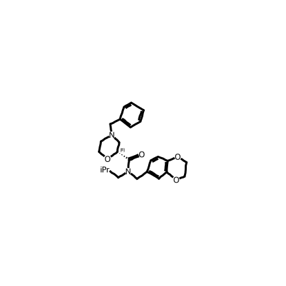 CC(C)CN(Cc1ccc2c(c1)OCCO2)C(=O)[C@H]1CN(Cc2ccccc2)CCO1